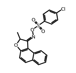 CC1Oc2ccc3ccccc3c2/C1=N/OS(=O)(=O)c1ccc(Cl)cc1